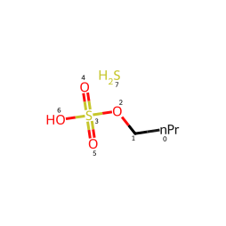 CCCCOS(=O)(=O)O.S